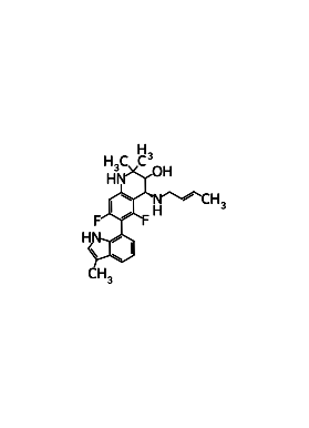 C/C=C/CN[C@H]1c2c(cc(F)c(-c3cccc4c(C)c[nH]c34)c2F)NC(C)(C)C1O